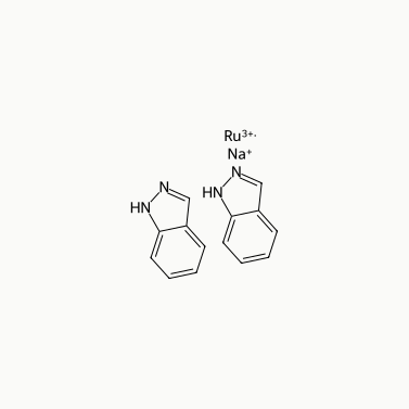 [Na+].[Ru+3].c1ccc2[nH]ncc2c1.c1ccc2[nH]ncc2c1